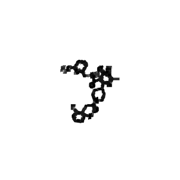 Cc1nc(C2CCN(C(=O)Cc3c(F)cccc3F)CC2)c(C(=O)NCc2cccc(C(F)(F)F)n2)c(=O)[nH]1